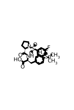 [CH3][Sn]([CH3])([CH3])[c]1ccc(C[C@H](NC(=O)[C@@H]2CCCN2S(=O)(=O)c2cccc(F)c2)C(=O)O)cc1